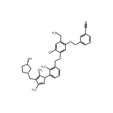 Cc1nn(-c2cccc(COc3cc(OCc4cncc(C#N)c4)c(CN)cc3Cl)c2C)c(C)c1CN1CC[C@@H](O)C1